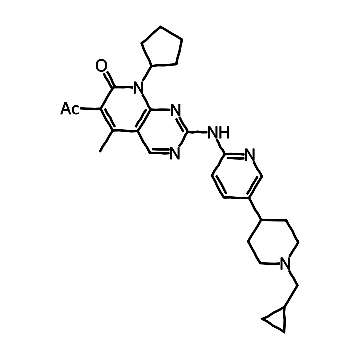 CC(=O)c1c(C)c2cnc(Nc3ccc(C4CCN(CC5CC5)CC4)cn3)nc2n(C2CCCC2)c1=O